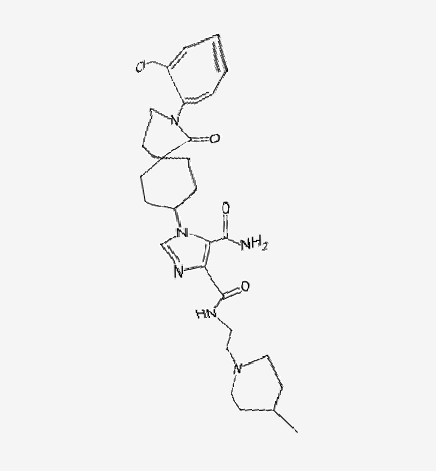 CC1CCN(CCNC(=O)c2ncn(C3CCC4(CC3)CCN(c3ccccc3Cl)C4=O)c2C(N)=O)CC1